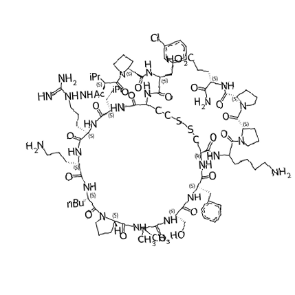 CCCC[C@@H]1NC(=O)[C@H](CCCN)NC(=O)[C@H](CCCNC(=N)N)NC(=O)[C@H](CC(C)C)NC(=O)C(NC(=O)[C@H](Cc2cccc(Cl)c2)NC(=O)[C@@H]2CCCN2C(=O)[C@@H](NC(C)=O)C(C)C)CCSSC[C@@H](C(=O)NC(CCCCN)C(=O)N2CCC[C@H]2C(=O)N2CCC[C@H]2C(=O)N[C@@H](CCC(=O)O)C(N)=O)NC(=O)[C@H](Cc2ccccc2)NC(=O)[C@H](CO)NC(=O)C(C)(C)NC(=O)[C@@H]2CCCN2C1=O